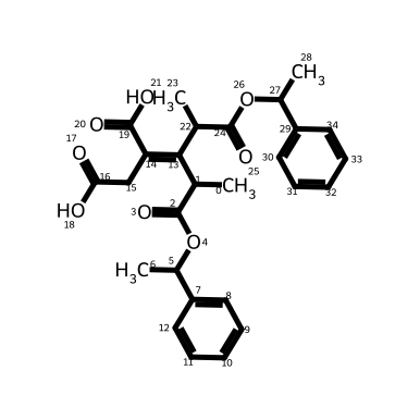 CC(C(=O)OC(C)c1ccccc1)C(=C(CC(=O)O)C(=O)O)C(C)C(=O)OC(C)c1ccccc1